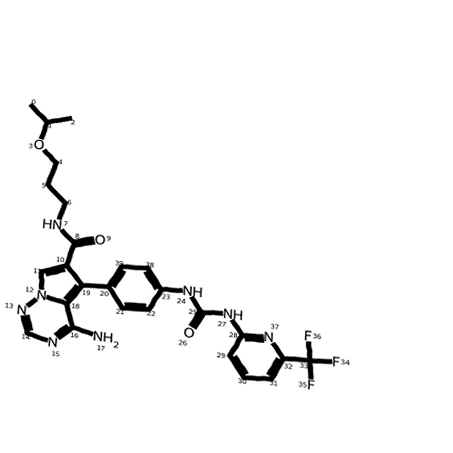 CC(C)OCCCNC(=O)c1cn2ncnc(N)c2c1-c1ccc(NC(=O)Nc2cccc(C(F)(F)F)n2)cc1